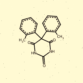 Cc1ccccc1C1(c2ccccc2C)C(=O)NC(=O)NC1=O